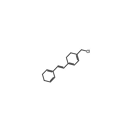 ClCC1=CC=C(/C=C/C2=CCCC=C2)CC1